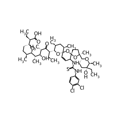 CCC(C(=O)[C@@H](C)[C@@H](O)[C@H](C)[C@@H]1O[C@@H]([C@@H](CC)C(=O)O)CC[C@@H]1C)[C@H]1O[C@]2(C=CC(NC(=S)Nc3ccc(Cl)c(Cl)c3)[C@]3(CC[C@@](C)([C@H]4CC[C@](O)(CC)[C@H](C)O4)O3)O2)[C@H](C)C[C@@H]1C